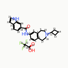 O=C(Nc1ccc2c(c1)CCN(C1CCC1)CC2)c1ccc2cc[nH]c2c1.O=C(O)C(F)(F)F